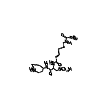 CCCCC(=O)NCCCCCC(=O)NC(CS(=O)(=O)O)C(=O)NC1CCNCC1